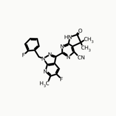 Cc1nc2c(cc1F)c(-c1nc(C#N)c3c(n1)NC(=O)C3(C)C)nn2Cc1ccccc1F